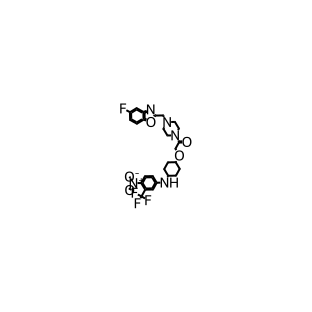 O=C(CO[C@H]1CC[C@H](Nc2ccc([N+](=O)[O-])c(C(F)(F)F)c2)CC1)N1CCN(Cc2nc3cc(F)ccc3o2)CC1